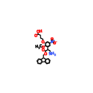 COc1c(OCCCC(=O)O)cc([N+](=O)[O-])cc1C(CN)C(=O)OCC1c2ccccc2-c2ccccc21